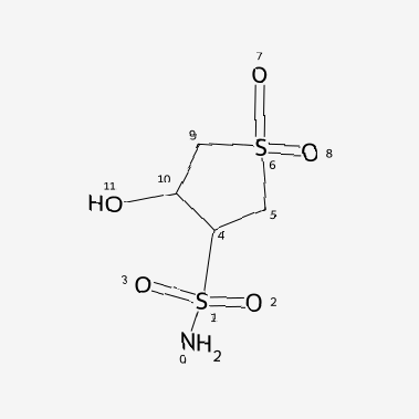 NS(=O)(=O)C1CS(=O)(=O)CC1O